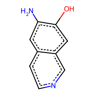 Nc1cc2ccncc2cc1O